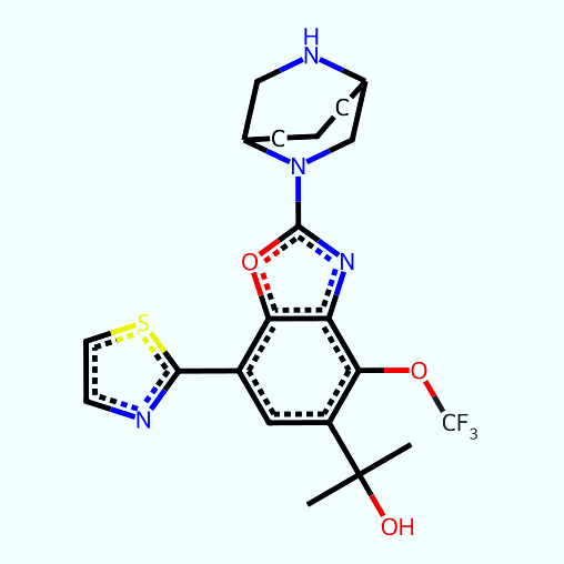 CC(C)(O)c1cc(-c2nccs2)c2oc(N3CC4CCCC3CN4)nc2c1OC(F)(F)F